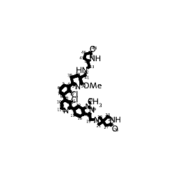 COc1nc(-c2cccc(-c3ccnc(-c4ccc5c(CN6CC7(CNC(=O)C7)C6)nn(C)c5c4)c3Cl)c2Cl)ccc1CNCC1CCC(=O)N1